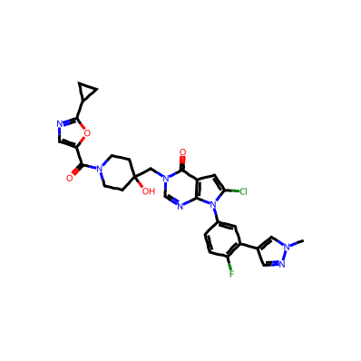 Cn1cc(-c2cc(-n3c(Cl)cc4c(=O)n(CC5(O)CCN(C(=O)c6cnc(C7CC7)o6)CC5)cnc43)ccc2F)cn1